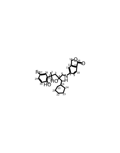 CC(C)(CC(O)(CNc1ccc2c(c1)COC2=O)CC1CCCCC1)c1cc(F)ccc1O